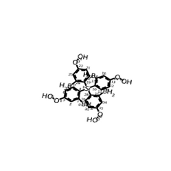 Bc1cc(OO)ccc1[Si](c1ccc(OO)cc1B)(c1ccc(OO)cc1B)c1ccc(OO)cc1B